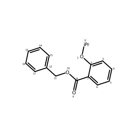 CC(C)Oc1ccccc1C(=O)OCc1ccccc1